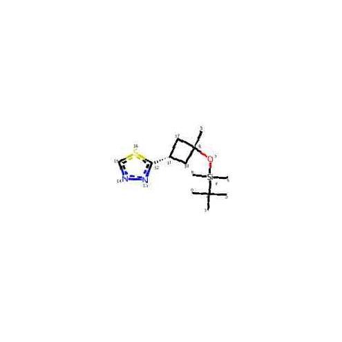 CC(C)(C)[Si](C)(C)O[C@]1(C)C[C@H](c2nncs2)C1